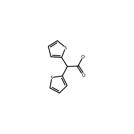 [O]C(=O)C(c1cccs1)c1cccs1